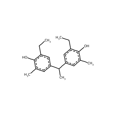 CCc1cc(C(C)c2cc(C)c(O)c(CC)c2)cc(C)c1O